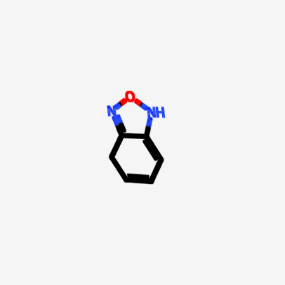 C1=CCC2=NONC2=C1